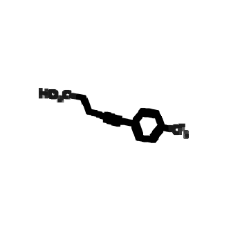 O=C(O)CCC#Cc1ccc(C(F)(F)F)cc1